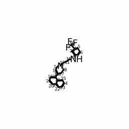 FC(F)(F)c1cccc(NCCCN2CC=C(c3cccc4ccccc34)CC2)c1